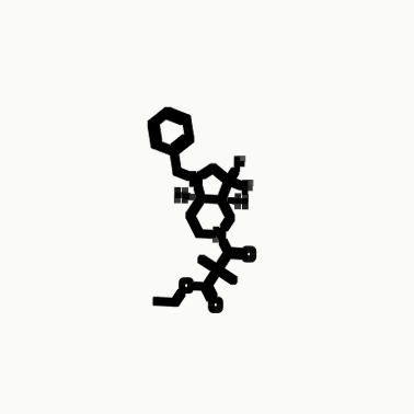 CCOC(=O)C(C)(C)C(=O)N1CC[C@@H]2[C@H](C1)C(F)(F)CN2Cc1ccccc1